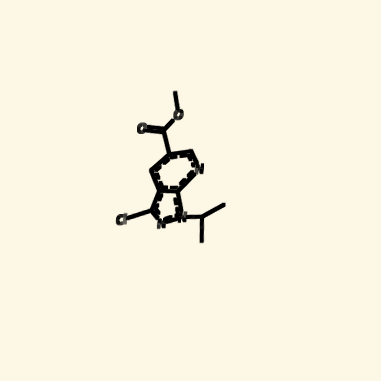 COC(=O)c1cnc2c(c1)c(Cl)nn2C(C)C